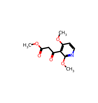 COC(=O)CC(=O)c1c(OC)ccnc1OC